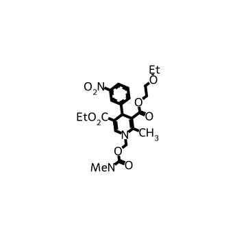 CCOCCOC(=O)C1=C(C)N(COC(=O)NC)C=C(C(=O)OCC)C1c1cccc([N+](=O)[O-])c1